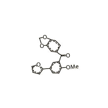 COc1ccc(-c2ccco2)cc1C(=O)c1ccc2c(c1)OCO2